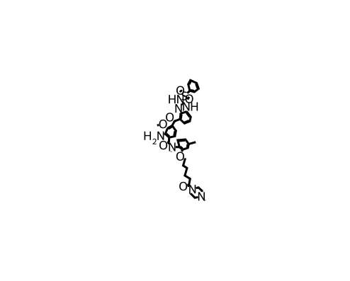 COc1c(C(=O)c2cccc3[nH]c(NS(=O)(=O)c4ccccc4)nc23)ccc(C(=O)N(C)c2ccc(C)cc2OCCCCCC(=O)N2CCN(C)CC2)c1N